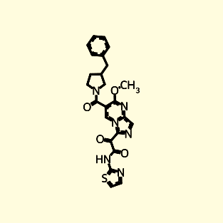 COc1nc2cnc(C(=O)C(=O)Nc3nccs3)n2cc1C(=O)N1CCC(Cc2ccccc2)C1